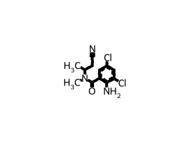 CC(CC#N)N(C)C(=O)c1cc(Cl)cc(Cl)c1N